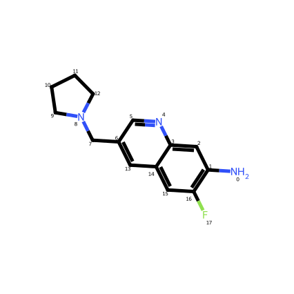 Nc1cc2ncc(CN3CCCC3)cc2cc1F